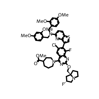 COC(=O)C1CCCN(c2nc(OC[C@@]34CCCN3C[C@H](F)C4)nc3c(F)c(-c4csc5ccc(N(Cc6ccc(OC)cc6OC)Cc6ccc(OC)cc6OC)nc45)c(Cl)cc23)CC1